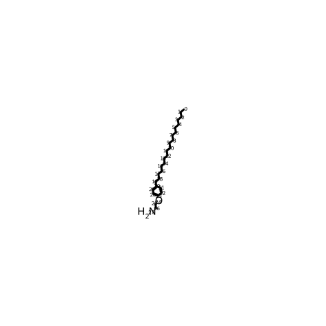 CCCCCCCCCCCCCCCCCCCCc1ccc(OCCN)cc1